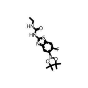 CCNC(=O)Nc1nc2cc(B3OC(C)(C)C(C)(C)O3)c(F)cc2s1